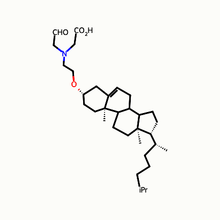 CC(C)CCC[C@@H](C)[C@H]1CCC2C3CC=C4C[C@@H](OCCN(CC=O)CC(=O)O)CC[C@]4(C)C3CC[C@@]21C